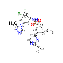 Cc1nncn1[C@H]1C[C@@H](NS(=O)(=O)c2cc(-c3ccnc(C4CC4)n3)cc(C(F)(F)F)c2)CC(F)(F)C1